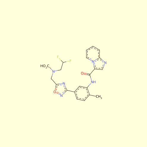 Cc1ccc(-c2noc(CN(CC(F)F)C(=O)O)n2)cc1NC(=O)c1cnc2ccccn12